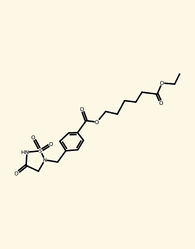 CCOC(=O)CCCCCOC(=O)c1ccc(CN2CC(=O)NS2(=O)=O)cc1